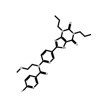 CCCn1c(=O)c2[nH]c(-c3ccc(N(CCOC)C(=O)c4ccc(F)nc4)nc3)nc2n(CCC)c1=O